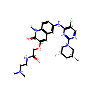 C[C@@H]1C[C@H](C)CN(c2ncc(Cl)c(Nc3ccc4c(c3)cc(OCC(=O)NCCN(C)C)c(=O)n4C)n2)C1